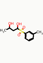 Cc1cccc(S(=O)(=O)C(O)CC(C)O)c1